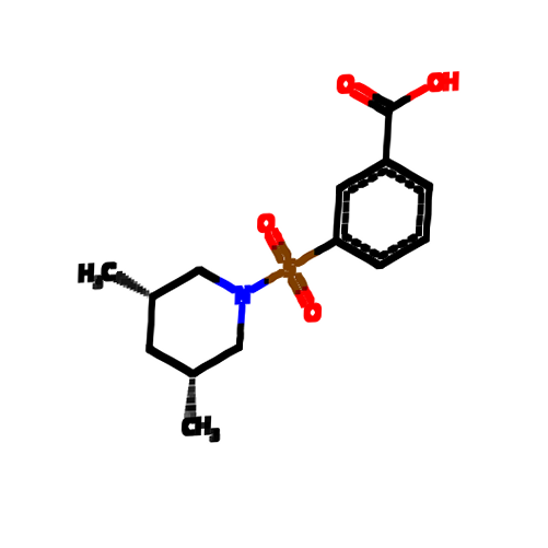 C[C@@H]1C[C@H](C)CN(S(=O)(=O)c2cccc(C(=O)O)c2)C1